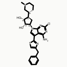 CN1CCC[C@H]([C@H]2C[C@@H](n3cc(-c4nc(Cc5ccccc5)cs4)c4c(N)nc(Cl)nc43)[C@H](O)[C@@H]2O)C1